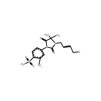 CC1(C)C(=O)N(c2ccc(S(C)(=O)=O)c(C(F)(F)F)c2)C(=O)N1CC=CCCl